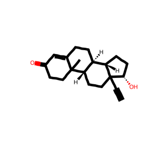 C#CC12CC[C@H]3[C@@H](CCC4=CC(=O)CCC43C)[C@@H]1CC[C@@H]2O